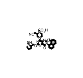 Cc1nc2c(N3CCN(C(=O)O)C(CC#N)C3)nc(OCC3CCCN3C)nc2c(=O)n1-c1cccc2cccc(Cl)c12